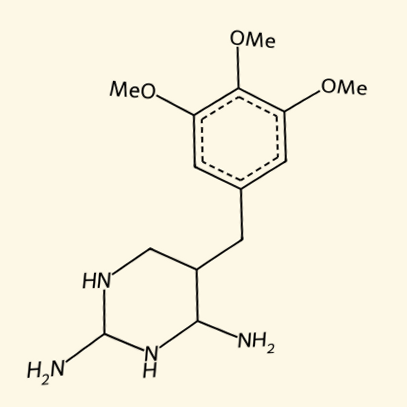 COc1cc(CC2CNC(N)NC2N)cc(OC)c1OC